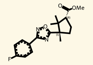 COC(=O)[C@@H]1CC[C@](C)(c2nc(-c3ccc(F)cc3)no2)C1(C)C